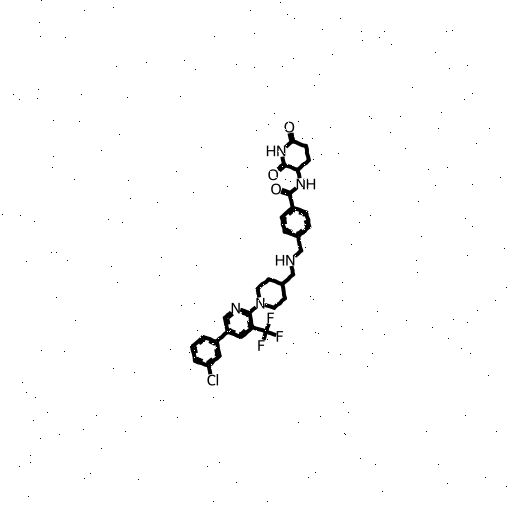 O=C1CCC(NC(=O)c2ccc(CNCC3CCN(c4ncc(-c5cccc(Cl)c5)cc4C(F)(F)F)CC3)cc2)C(=O)N1